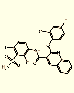 NS(=O)(=O)c1c(F)ccc(NC(=O)c2cc3ccccc3nc2Oc2ccc(F)cc2Cl)c1Cl